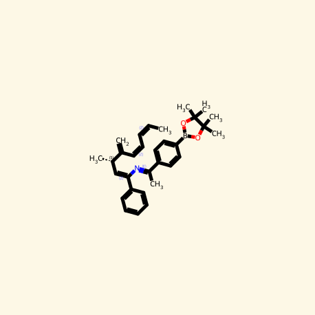 C=C(/C=C\C=C/C)[C@@H](C)/C=C(\N=C(/C)c1ccc(B2OC(C)(C)C(C)(C)O2)cc1)c1ccccc1